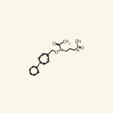 CC(=O)N(CCC[PH](=O)O)OCc1ccc(-c2ccccc2)cc1